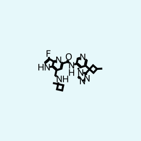 CC1CC(c2cncc(NC(=O)c3cc(CNC4(C)CCC4)c4[nH]cc(F)c4n3)c2)(c2nncn2C)C1